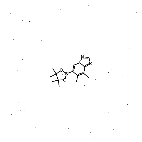 Cc1c(B2OC(C)(C)C(C)(C)O2)cn2ncnc2c1C